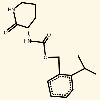 CC(C)c1ccccc1COC(=O)N[C@H]1CCCNC1=O